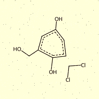 ClCCl.OCc1cc(O)ccc1O